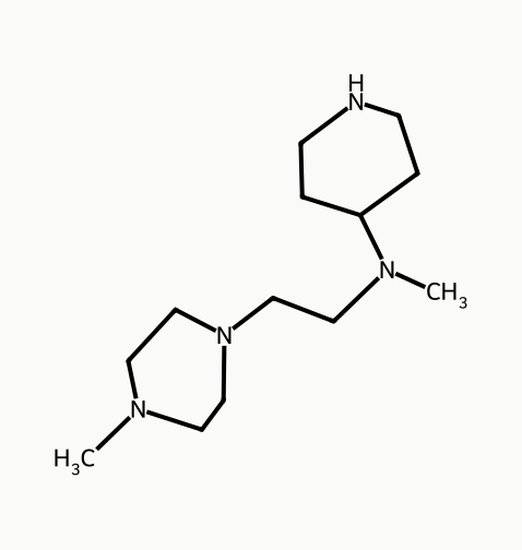 CN1CCN(CCN(C)C2CCNCC2)CC1